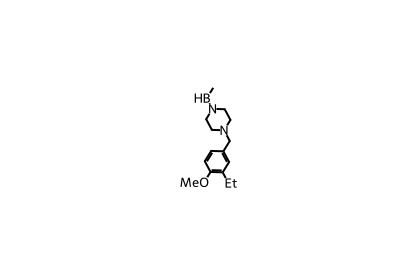 CBN1CCN(Cc2ccc(OC)c(CC)c2)CC1